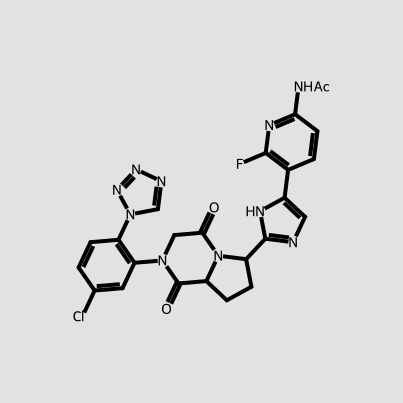 CC(=O)Nc1ccc(-c2cnc(C3CCC4C(=O)N(c5cc(Cl)ccc5-n5cnnn5)CC(=O)N43)[nH]2)c(F)n1